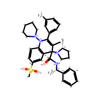 CC1=C(c2cccc(C(F)(F)F)c2)N(N2CCCCC2)c2ccc(S(C)(=O)=O)cc2C1(C(=O)N[C@H](c1ccccc1)C(F)(F)F)N1CCC[C@H]1C